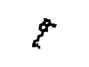 NCCCCc1ccn2ncc(Br)c2n1